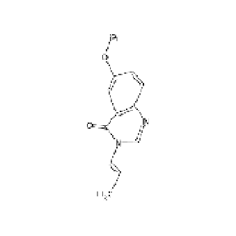 C/C=C/n1cnc2ccc(OC(C)C)cc2c1=O